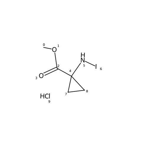 COC(=O)C1(NI)CC1.Cl